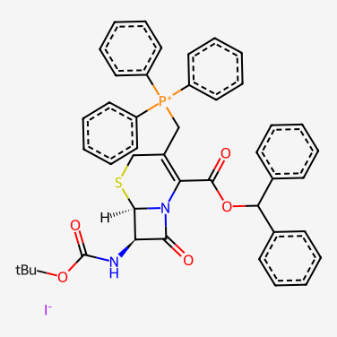 CC(C)(C)OC(=O)N[C@@H]1C(=O)N2C(C(=O)OC(c3ccccc3)c3ccccc3)=C(C[P+](c3ccccc3)(c3ccccc3)c3ccccc3)CS[C@H]12.[I-]